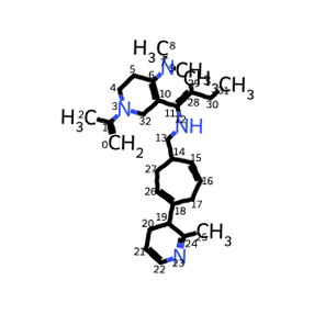 C=C(C)N1CCC(N(C)C)=C(/C(NCC2C=CCC(C3CC=CN=C3C)=CC2)=C(\C)CC)C1